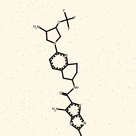 Cc1nc2sc(C(=O)NC3CCc4nc(N5CC(N)C(OC(F)(F)F)C5)ccc4C3)c(N)c2s1